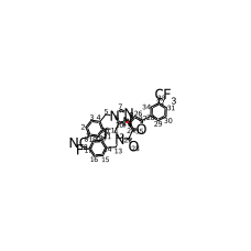 N#Cc1ccc(Cn2cnnc2CN(Cc2ccc(F)cc2F)C(=O)c2ccc(-c3cccc(C(F)(F)F)c3)o2)cc1